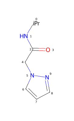 CC(C)NC(=O)Cn1cccn1